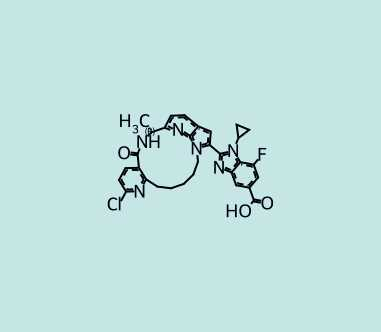 C[C@H]1NC(=O)c2ccc(Cl)nc2CCCCCn2c(-c3nc4cc(C(=O)O)cc(F)c4n3C3CC3)cc3ccc1nc32